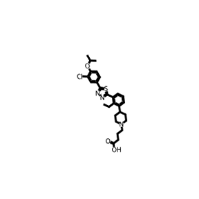 CCc1c(-c2nnc(-c3ccc(OC(C)C)c(Cl)c3)s2)cccc1C1CCN(CCCC(=O)O)CC1